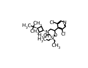 CC[Si](CC)(CC)OC(CN[C@H]1C[C@H](C(C)(C)C)C1)c1c(Cl)cncc1Cl